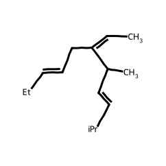 CC=C(CC=CCC)[C](C)C=CC(C)C